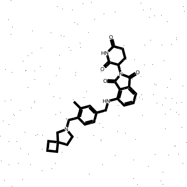 Cc1cc(CNc2cccc3c2C(=O)N(C2CCC(=O)NC2=O)C3=O)ccc1CN1CCC2(CCC2)C1